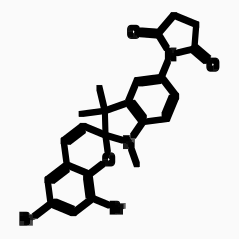 CN1c2ccc(N3C(=O)CCC3=O)cc2C(C)(C)C12C=Cc1cc(Br)cc(Br)c1O2